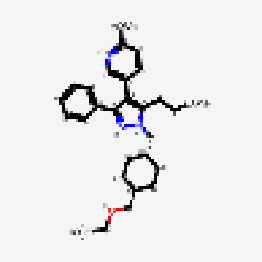 COCCc1c(-c2ccc(OC)nc2)c(-c2ccccc2)nn1C[C@H]1CC[C@H](COCC(=O)O)CC1